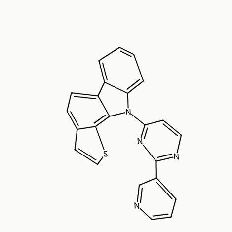 c1cncc(-c2nccc(-n3c4ccccc4c4ccc5ccsc5c43)n2)c1